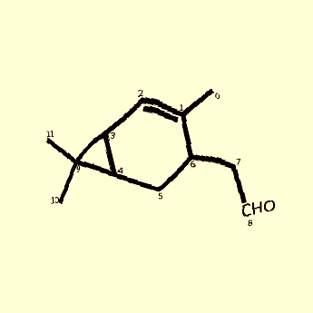 CC1=CC2C(CC1CC=O)C2(C)C